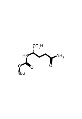 CCCCOC(=O)N[C@@H](CCC(N)=O)C(=O)O